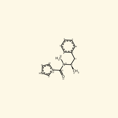 C[C@H](Cc1ccccc1)N(C)C(=O)n1ccnc1